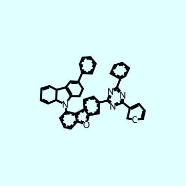 C1=CCCC(c2nc(-c3ccccc3)nc(-c3ccc4c(c3)oc3cccc(N5C6=C(C=C(c7ccccc7)CC6)C6C=CC=CC65)c34)n2)=C1